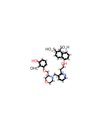 O=Cc1c(O)cccc1OC[C@@H]1COCCN1Cc1cccnc1CCO.O=S(=O)(O)c1ccc2ccccc2c1S(=O)(=O)O